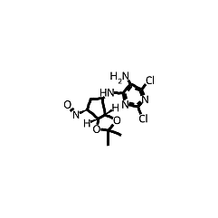 CC1(C)O[C@@H]2[C@H](O1)[C@@H](N=O)C[C@H]2Nc1nc(Cl)nc(Cl)c1N